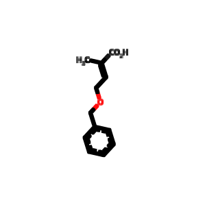 CC(=CCOCc1ccccc1)C(=O)O